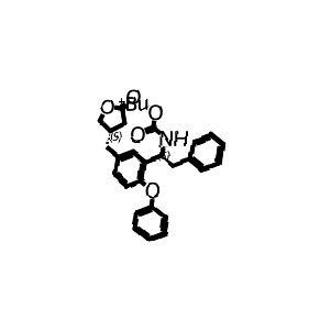 CC(C)(C)OC(=O)N[C@@H](Cc1ccccc1)c1cc(C[C@@H]2COC(=O)C2)ccc1Oc1ccccc1